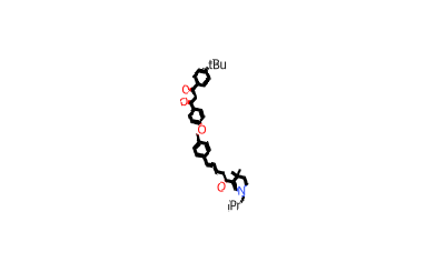 CC(C)CN1C=C(C(=O)CCC=Cc2ccc(COc3ccc(C(=O)CC(=O)c4ccc(C(C)(C)C)cc4)cc3)cc2)C(C)(C)CC1